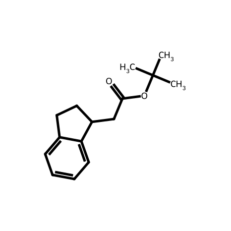 CC(C)(C)OC(=O)CC1CCc2ccccc21